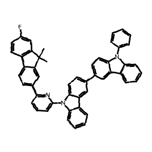 CC1(C)c2cc(F)ccc2-c2ccc(-c3cccc(-n4c5ccccc5c5cc(-c6ccc7c(c6)c6ccccc6n7-c6ccccc6)ccc54)n3)cc21